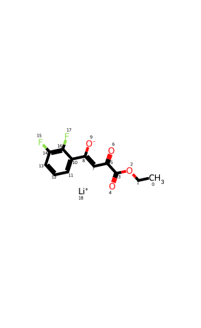 CCOC(=O)C(=O)C=C([O-])c1cccc(F)c1F.[Li+]